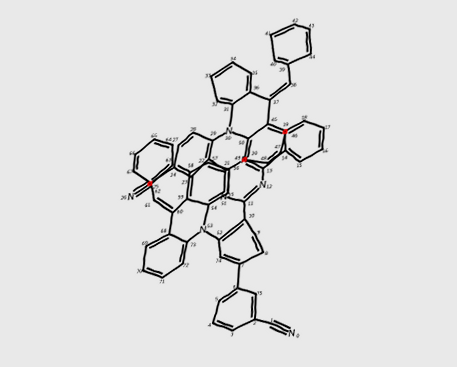 N#Cc1cccc(-c2ccc(-c3nc(-c4ccccc4)nc(-c4cc(C#N)ccc4N4c5ccccc5C(=Cc5ccccc5)c5ccccc54)n3)c(N3c4ccccc4C(=Cc4ccccc4)c4ccccc43)c2)c1